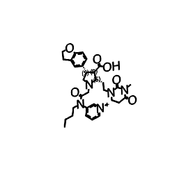 CCCCN(C(=O)CN1C[C@H](c2ccc3c(c2)CCO3)[C@@H](C(=O)O)[C@@H]1CCN1CCC(=O)N(C)C1=O)c1ccc[n+](C)c1